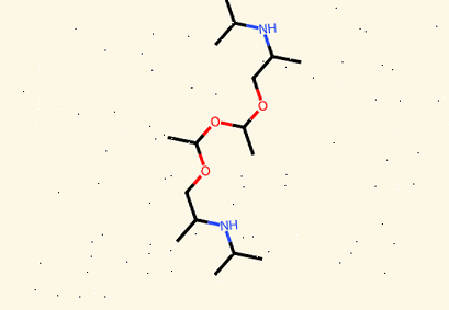 CC(C)NC(C)COC(C)OC(C)OCC(C)NC(C)C